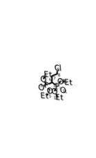 CCOP(=O)(OCC)C(CCCl)P(=O)(OCC)OCC